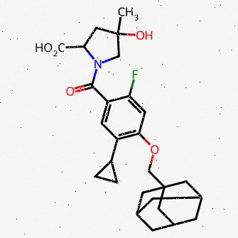 CC1(O)CC(C(=O)O)N(C(=O)c2cc(C3CC3)c(OCC34CC5CC(CC(C5)C3)C4)cc2F)C1